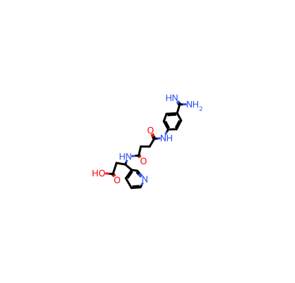 N=C(N)c1ccc(NC(=O)CCC(=O)NC(CC(=O)O)c2cccnc2)cc1